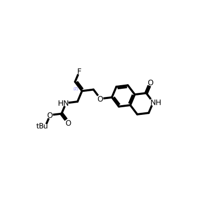 CC(C)(C)OC(=O)NC/C(=C/F)COc1ccc2c(c1)CCNC2=O